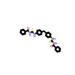 O=C(NC(=S)Nc1ccc(Cc2ccc(NC(=S)NC(=O)c3ccccc3)cc2)cc1)c1ccccc1